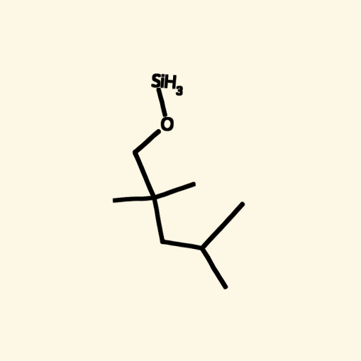 CC(C)CC(C)(C)CO[SiH3]